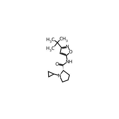 CC(C)(C)c1cc(NC(=O)[C@@H]2CCCN2C2CC2)on1